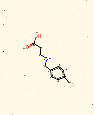 Cc1ccc(CNCCC(=O)O)cc1